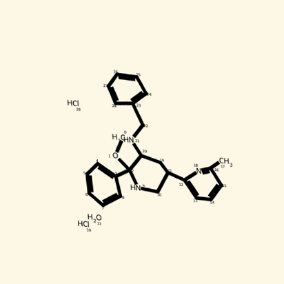 COC1(c2ccccc2)NCC(c2cccc(C)n2)CC1NCc1ccccc1.Cl.Cl.O